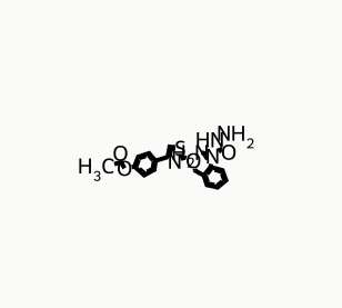 CC(=O)Oc1ccc(-c2csc(OCc3ccccc3N(N)C(=O)NN)n2)cc1